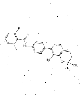 Cc1c(-c2ccc(NC(=O)c3c(F)cccc3F)cc2)ccc2c1OC(C)(C)CC2